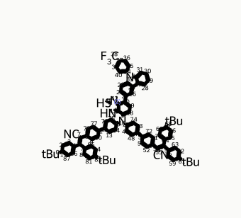 CC(C)(C)c1ccc(C(=C(C#N)c2ccc(-c3ccc(N(C4=CC=C(c5ccc6c(c5)c5ccccc5n6-c5ccc(C(F)(F)F)cc5)/C(=N/S)C4=N)c4ccc(-c5ccc(C(C#N)=C(c6ccc(C(C)(C)C)cc6)c6ccc(C(C)(C)C)cc6)cc5)cc4)cc3)cc2)c2ccc(C(C)(C)C)cc2)cc1